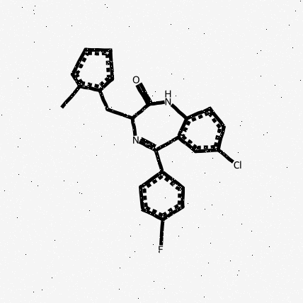 Cc1ccccc1CC1N=C(c2ccc(F)cc2)c2cc(Cl)ccc2NC1=O